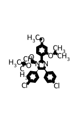 COc1ccc(C2=N[C@@H](c3ccc(Cl)cc3)[C@H](c3ccc(Cl)cc3)N2C(=O)OC(C)(C)C)c(OC(C)C)c1